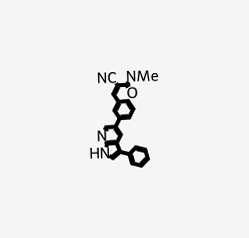 CNC(=O)C(C#N)=Cc1cccc(-c2cnc3[nH]cc(-c4ccccc4)c3c2)c1